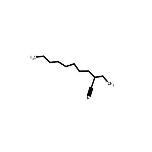 CCCCCCCCC(C#N)CC